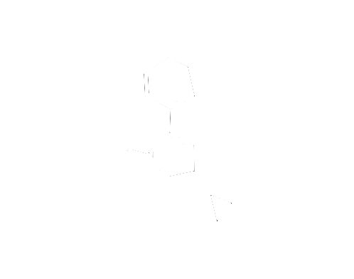 BrN1OC(C2CC2)[C]=C1c1ccccc1